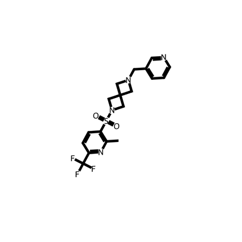 Cc1nc(C(F)(F)F)ccc1S(=O)(=O)N1CC2(CN(Cc3cccnc3)C2)C1